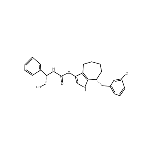 O=C(N[C@H](CO)c1ccccc1)Oc1n[nH]c2c1CCCC[C@@H]2Cc1cccc(Cl)c1